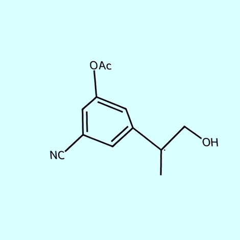 C[C](CO)c1cc(C#N)cc(OC(C)=O)c1